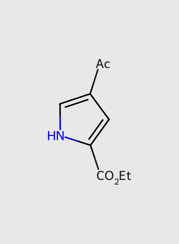 CCOC(=O)c1cc(C(C)=O)c[nH]1